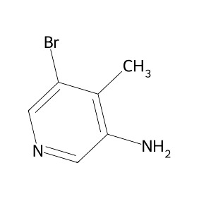 Cc1c(N)cncc1Br